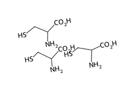 NC(CS)C(=O)O.NC(CS)C(=O)O.NC(CS)C(=O)O